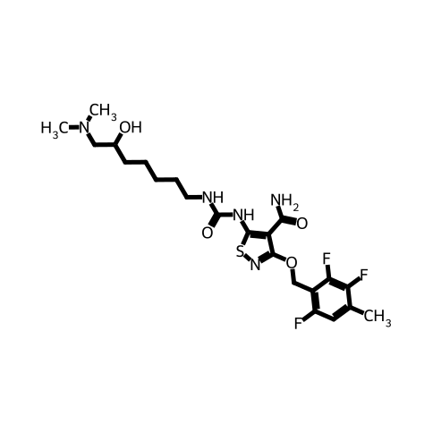 Cc1cc(F)c(COc2nsc(NC(=O)NCCCCCC(O)CN(C)C)c2C(N)=O)c(F)c1F